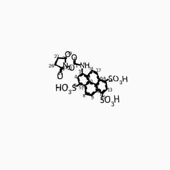 O=C(Nc1cc(S(=O)(=O)O)c2ccc3c(S(=O)(=O)O)cc(S(=O)(=O)O)c4ccc1c2c43)ON1C(=O)CCC1=O